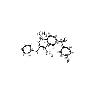 CN1CC(Cc2ccccc2)=C(C(F)(F)F)c2cc(C(=O)c3ccc(F)cc3)ccc21